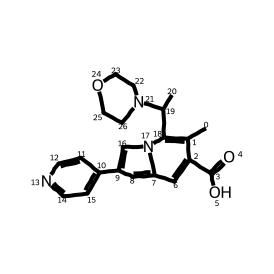 Cc1c(C(=O)O)cc2cc(-c3ccncc3)cn2c1C(C)N1CCOCC1